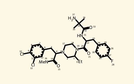 CCC1CN(C(Cc2ccc(Cl)c(Cl)c2)C(=O)NC)CCN1C(=O)C(Cc1ccc(F)cc1)NC(=O)C(C)(C)N